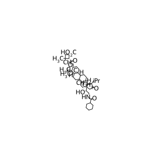 CC(C)C1=C2[C@H]3CC[C@@H]4[C@@]5(C)CC[C@H](OC(=O)[C@H]6C[C@@H](C(=O)O)C6(C)C)C(C)(C)[C@@H]5CC[C@@]4(C)[C@]3(C)CC[C@@]2([C@@H](O)CNC(=O)C2CCCCC2)CC1=O